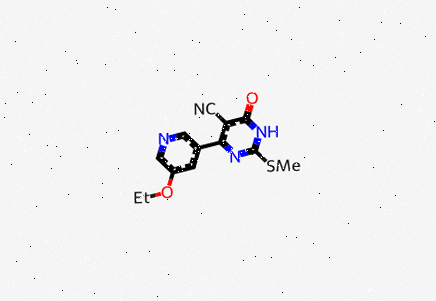 CCOc1cncc(-c2nc(SC)[nH]c(=O)c2C#N)c1